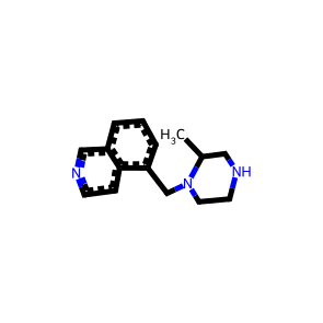 CC1CNCCN1Cc1cccc2cnccc12